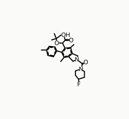 Cc1ccc(-c2c(C)c3c(c(C)c2C(OC(C)(C)C)C(=O)O)CN(C(=O)N2CCC(F)CC2)C3)cc1